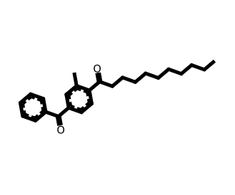 CCCCCCCCCCC(=O)c1ccc(C(=O)c2ccccc2)cc1C